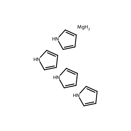 [MgH2].c1cc[nH]c1.c1cc[nH]c1.c1cc[nH]c1.c1cc[nH]c1